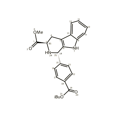 COC(=O)[C@H]1Cc2c([nH]c3ccccc23)[C@H](c2ccc(C(=O)OCC(C)C)cc2)N1